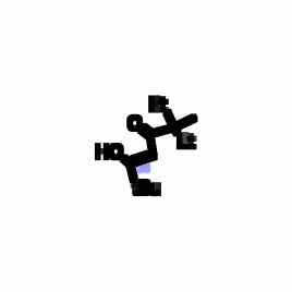 CCC(C)(CC)C(=O)/C=C(\O)C(C)(C)C